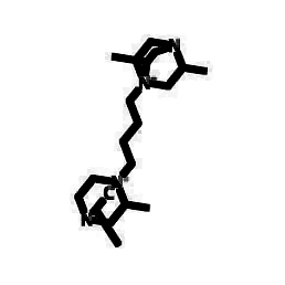 CC1C[N+]2(CCCC[N+]34CCN(CC3C)C(C)C4)CCN1CC2C